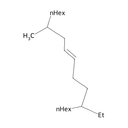 [CH2]CCCCCC(C)CC=CCCC(CC)CCCCC[CH2]